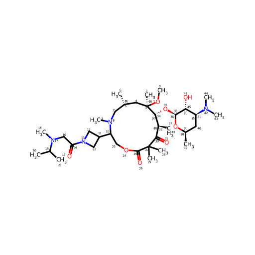 CO[C@]1(C)C[C@@H](C)CN(C)C(C2CN(C(=O)CN(C)C(C)C)C2)COC(=O)C(C)(C)C(=O)[C@H](C)[C@H]1O[C@@H]1O[C@H](C)C[C@H](N(C)C)[C@H]1O